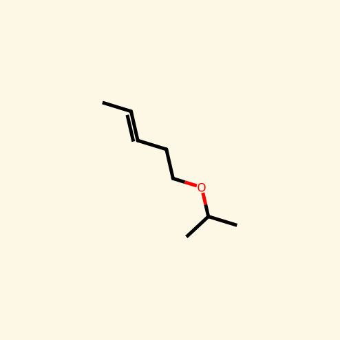 C/C=C/CCOC(C)C